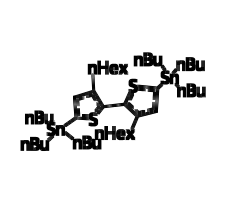 CCCCCCc1c[c]([Sn]([CH2]CCC)([CH2]CCC)[CH2]CCC)sc1-c1s[c]([Sn]([CH2]CCC)([CH2]CCC)[CH2]CCC)cc1CCCCCC